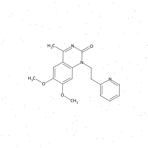 COc1cc2c(C)nc(=O)n(CCc3ccccn3)c2cc1OC